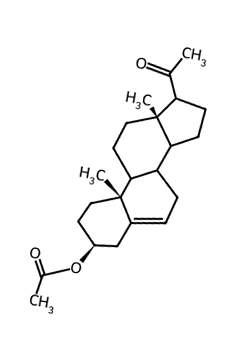 CC(=O)O[C@H]1CC[C@@]2(C)C(=CCC3C4CCC(C(C)=O)[C@@]4(C)CCC32)C1